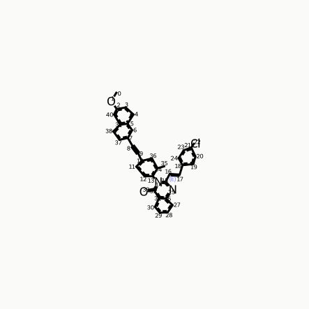 COc1ccc2cc(C#Cc3ccc(-n4c(/C=C/c5ccc(Cl)cc5)nc5ccccc5c4=O)c(C)c3)ccc2c1